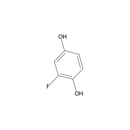 Oc1ccc(O)c(F)c1